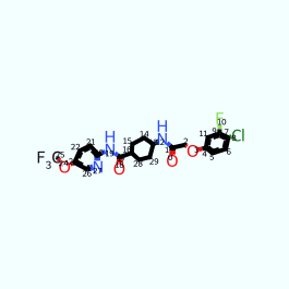 O=C(COc1ccc(Cl)c(F)c1)NC1CCC(C(=O)Nc2ccc(OC(F)(F)F)cn2)CC1